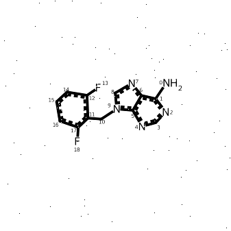 Nc1ncnc2c1ncn2Cc1c(F)cccc1F